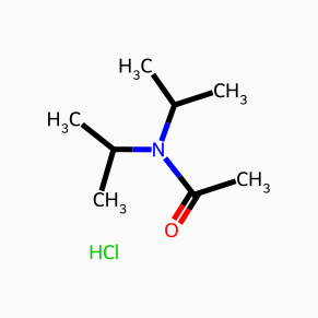 CC(=O)N(C(C)C)C(C)C.Cl